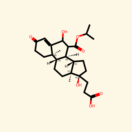 CC(C)OC(=O)C1C(O)C2=CC(=O)CC[C@]2(C)[C@H]2CC[C@@]3(C)[C@@H](CC[C@]3(O)CCC(=O)O)[C@H]12